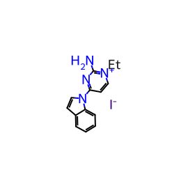 CC[n+]1ccc(-n2ccc3ccccc32)nc1N.[I-]